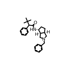 CC(C)(C)C(C(=O)N[C@@H]1CC[C@H]2CN(Cc3ccccc3)C[C@H]21)c1ccccc1